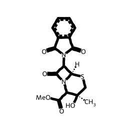 COC(=O)C1N2C(=O)C(N3C(=O)c4ccccc4C3=O)[C@H]2SC[C@@]1(C)O